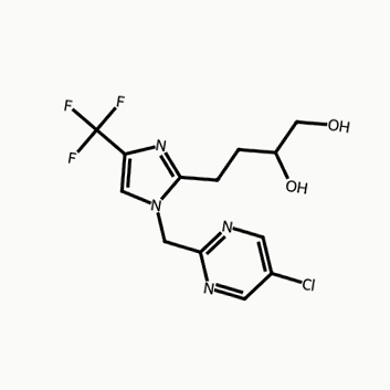 OCC(O)CCc1nc(C(F)(F)F)cn1Cc1ncc(Cl)cn1